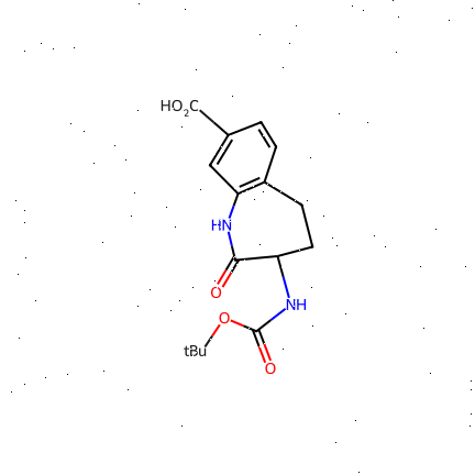 CC(C)(C)OC(=O)NC1CCc2ccc(C(=O)O)cc2NC1=O